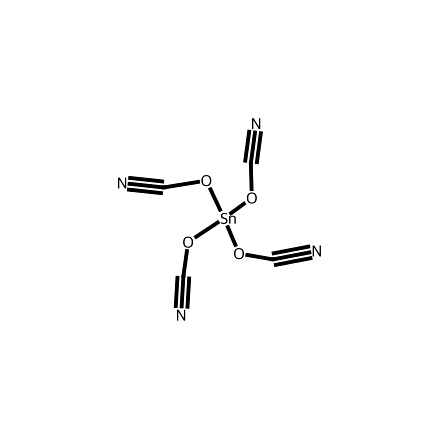 N#C[O][Sn]([O]C#N)([O]C#N)[O]C#N